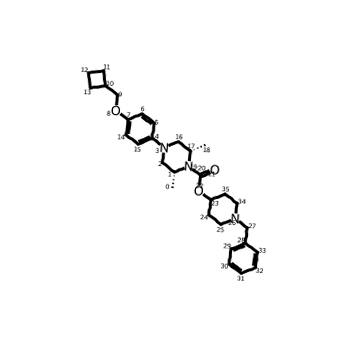 C[C@@H]1CN(c2ccc(OCC3CCC3)cc2)C[C@H](C)N1C(=O)OC1CCN(Cc2ccccc2)CC1